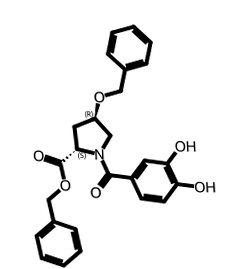 O=C(OCc1ccccc1)[C@@H]1C[C@@H](OCc2ccccc2)CN1C(=O)c1ccc(O)c(O)c1